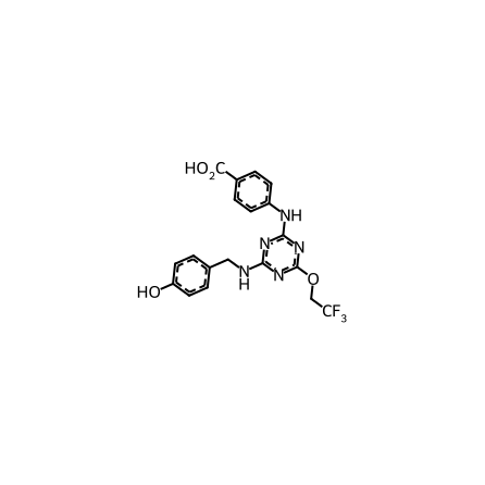 O=C(O)c1ccc(Nc2nc(NCc3ccc(O)cc3)nc(OCC(F)(F)F)n2)cc1